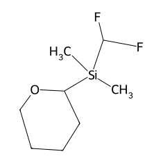 C[Si](C)(C(F)F)C1CCCCO1